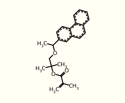 C=C(C)C(=O)OC(C)(C)COC(C)c1ccc2c(ccc3ccccc32)c1